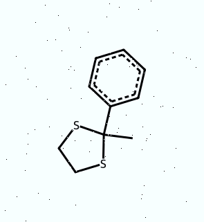 CC1(c2ccccc2)SCCS1